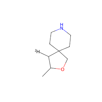 [2H]C1C(C)OCC12CCNCC2